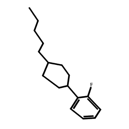 CCCCCC1CCC(c2ccccc2F)CC1